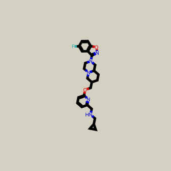 Fc1ccc2onc(N3CCN4CC(COc5cccc(CNCC6CC6)n5)CCC4C3)c2c1